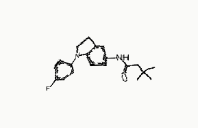 CC(C)(C)CC(=O)Nc1ccc2c(c1)CCN2c1ccc(F)cc1